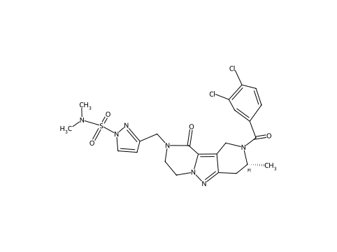 C[C@@H]1Cc2nn3c(c2CN1C(=O)c1ccc(Cl)c(Cl)c1)C(=O)N(Cc1ccn(S(=O)(=O)N(C)C)n1)CC3